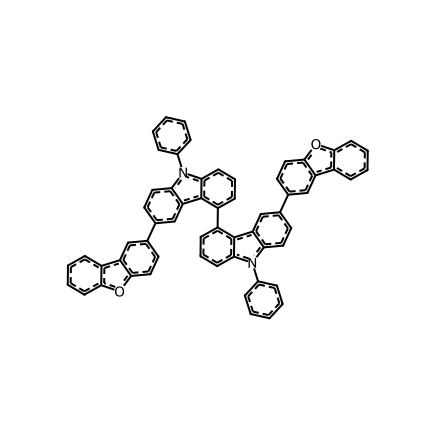 c1ccc(-n2c3ccc(-c4ccc5oc6ccccc6c5c4)cc3c3c(-c4cccc5c4c4cc(-c6ccc7oc8ccccc8c7c6)ccc4n5-c4ccccc4)cccc32)cc1